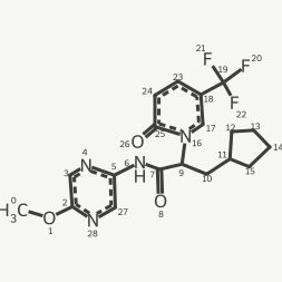 COc1cnc(NC(=O)C(CC2CCCC2)n2cc(C(F)(F)F)ccc2=O)cn1